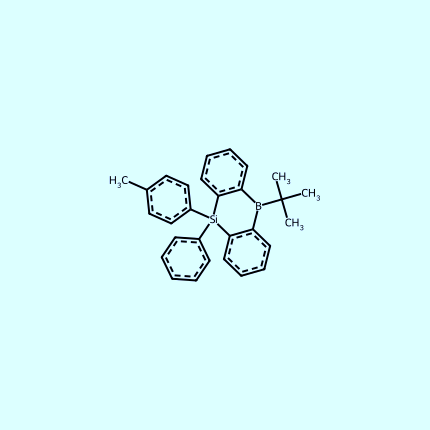 Cc1ccc([Si]2(c3ccccc3)c3ccccc3B(C(C)(C)C)c3ccccc32)cc1